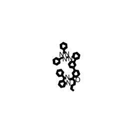 C\C=C/C=c1/oc2ccc(-c3ccc4c(c3)c3ccccc3n4-c3nc(-c4ccccc4)nc(-c4ccccc4)n3)cc2/c1=C1\N=C(c2ccccc2)c2ccccc2N1C